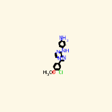 COc1ccc(-c2cnc3c(Nc4ccc(N)cc4)nccn23)cc1Cl